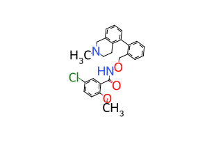 COc1ccc(Cl)cc1C(=O)NOCc1ccccc1-c1cccc2c1CCN(C)C2